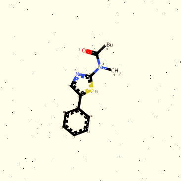 CCC(C)C(=O)N(C)c1ncc(-c2ccccc2)s1